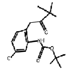 CC(C)(C)OC(=O)Nc1cc(Cl)ccc1CC(=O)C(C)(C)C